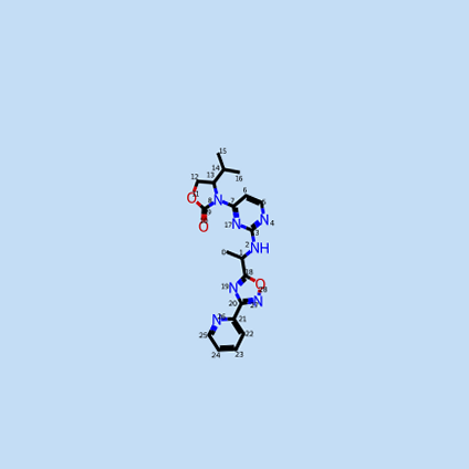 CC(Nc1nccc(N2C(=O)OCC2C(C)C)n1)c1nc(-c2ccccn2)no1